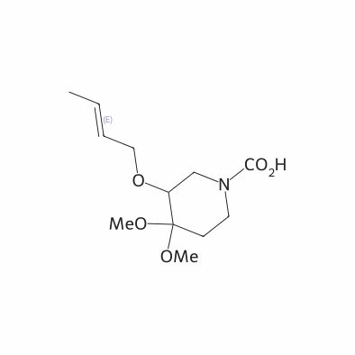 C/C=C/COC1CN(C(=O)O)CCC1(OC)OC